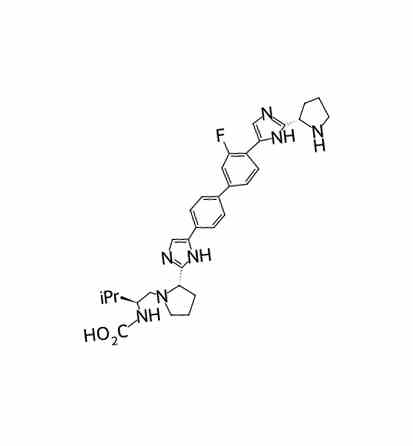 CC(C)[C@@H](CN1CCC[C@H]1c1ncc(-c2ccc(-c3ccc(-c4cnc([C@@H]5CCCN5)[nH]4)c(F)c3)cc2)[nH]1)NC(=O)O